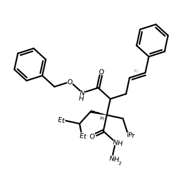 CCC(CC)C[C@@](CC(C)C)(C(=O)NN)C(C/C=C/c1ccccc1)C(=O)NOCc1ccccc1